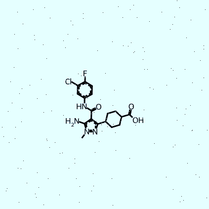 Cn1nc(C2CCC(C(=O)O)CC2)c(C(=O)Nc2ccc(F)c(Cl)c2)c1N